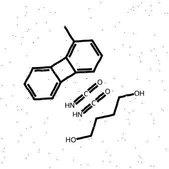 Cc1cccc2c1-c1ccccc1-2.N=C=O.N=C=O.OCCCCO